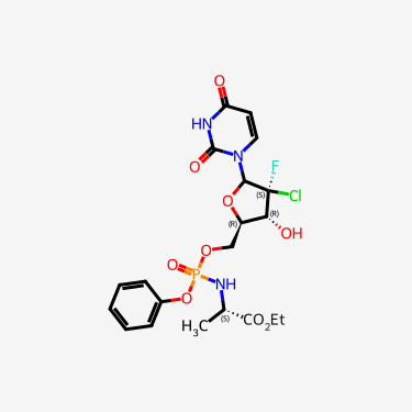 CCOC(=O)[C@H](C)NP(=O)(OC[C@H]1OC(n2ccc(=O)[nH]c2=O)[C@@](F)(Cl)[C@@H]1O)Oc1ccccc1